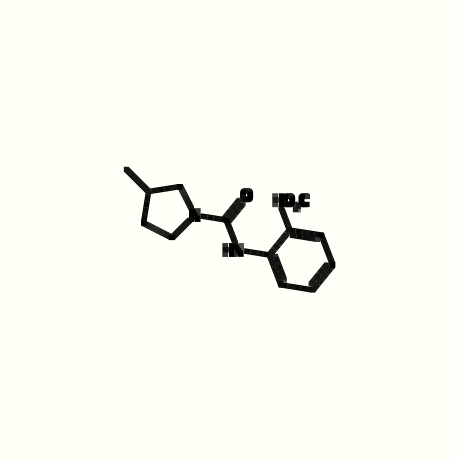 CC1CCN(C(=O)Nc2ccccc2C(=O)O)C1